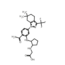 CC1(C)CCc2c(C(F)(F)F)nn(-c3ccc(C(N)=O)c(NC4CCCC4NCC(=O)O)c3)c2C1